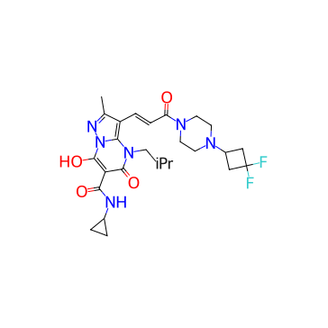 Cc1nn2c(O)c(C(=O)NC3CC3)c(=O)n(CC(C)C)c2c1C=CC(=O)N1CCN(C2CC(F)(F)C2)CC1